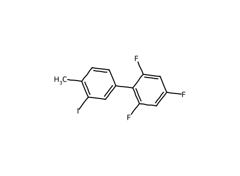 Cc1ccc(-c2c(F)cc(F)cc2F)cc1I